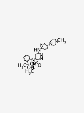 CC=Cn1c(=O)c2nnc(Nc3ccc(N4CCN(C)CC4)cn3)cc2n1-c1ccccc1C(C)(C)O